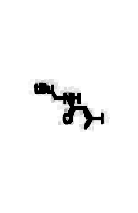 C/C(I)=C\C(=O)NCC(C)(C)C